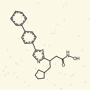 O=C(CC(CC1CCCC1)c1ncc(-c2ccc(-c3ccccc3)cc2)s1)NO